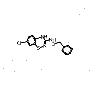 Clc1ccc2c(c1)SN=C(NOCc1ccccc1)N2